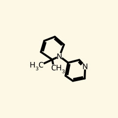 CC1(C)C=CC=CN1c1cccnc1